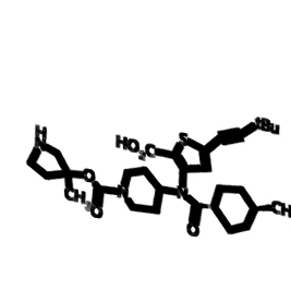 CC(C)(C)C#Cc1cc(N(C(=O)[C@H]2CC[C@H](C)CC2)C2CCN(C(=O)OC3(C)CCNC3)CC2)c(C(=O)O)s1